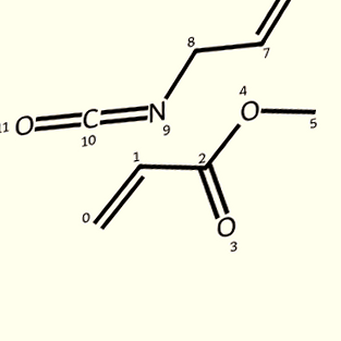 C=CC(=O)OC.C=CCN=C=O